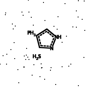 P.S.c1cn[nH]c1